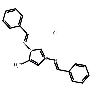 Cc1c[n+](/N=C/c2ccccc2)cn1/N=C/c1ccccc1.[Cl-]